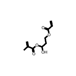 C=CC(=O)OCCC(O)OC(=O)C(=C)C